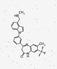 CBCc1cccc2c1ccn2-c1cccc(C2=Nc3cc(C)c(C(F)(F)F)cc3NC(=O)C2)c1